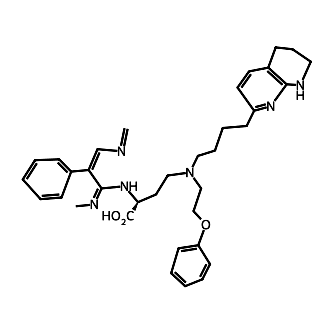 C=N/C=C(\C(=N/C)N[C@@H](CCN(CCCCc1ccc2c(n1)NCCC2)CCOc1ccccc1)C(=O)O)c1ccccc1